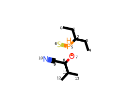 CCC(CC)[PH](=S)OC(C#N)C(C)C